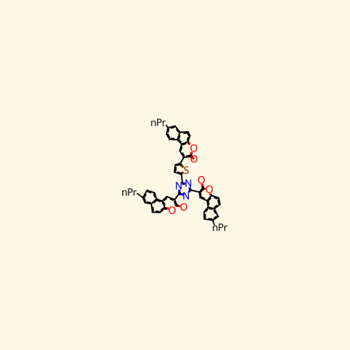 CCCc1ccc2c(ccc3oc(=O)c(-c4nc(-c5ccc(-c6cc7c(ccc8cc(CCC)ccc87)oc6=O)s5)nc(-c5cc6c(ccc7cc(CCC)ccc76)oc5=O)n4)cc32)c1